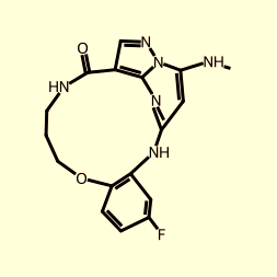 CNc1cc2nc3c(cnn13)C(=O)NCCCOc1ccc(F)cc1N2